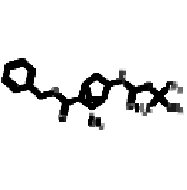 C[C@H]1C2CC(CC2NC(=O)OC(C)(C)C)[C@@H]1C(=O)OCc1ccccc1